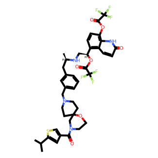 CC(C)c1cc(C(=O)N2CCOC3(CCN(Cc4cccc(C[C@@H](C)NC[C@H](OC(=O)C(F)(F)F)c5ccc(OC(=O)C(F)(F)F)c6[nH]c(=O)ccc56)c4)CC3)C2)cs1